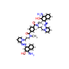 CN(CCC[n+]1ccccc1N=Nc1cc(O)c(N)c2ccccc12)C(=O)c1ccc(C(=O)N(C)CCC[n+]2ccccc2/N=N/c2cc(O)c(N)c3ccccc23)cc1